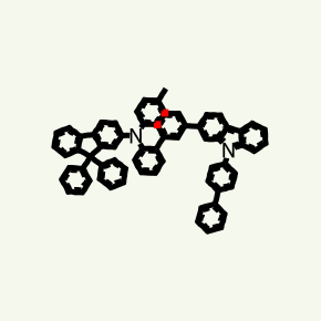 Cc1ccc(N(c2ccc3c(c2)C(c2ccccc2)(c2ccccc2)c2ccccc2-3)c2ccccc2-c2cccc(-c3ccc4c5ccccc5n(-c5ccc(-c6ccccc6)cc5)c4c3)c2)cc1